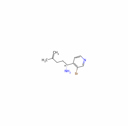 C=C(C)CC[C@@H](N)c1ccncc1Br